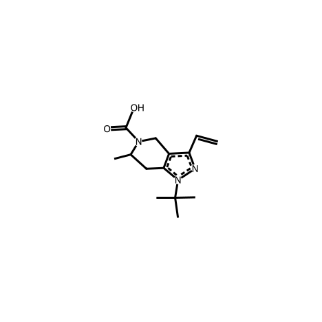 C=Cc1nn(C(C)(C)C)c2c1CN(C(=O)O)C(C)C2